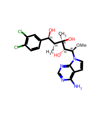 CO[C@H]([C@H](O)[C@](C)(O)[C@H](C)[C@H](O)c1ccc(Cl)c(Cl)c1)n1ccc2c(N)ncnc21